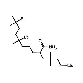 CCC(C)(C)CCC(C)(CC)CCCC(CC(C)(C)CCC(C)(C)C)C(N)=O